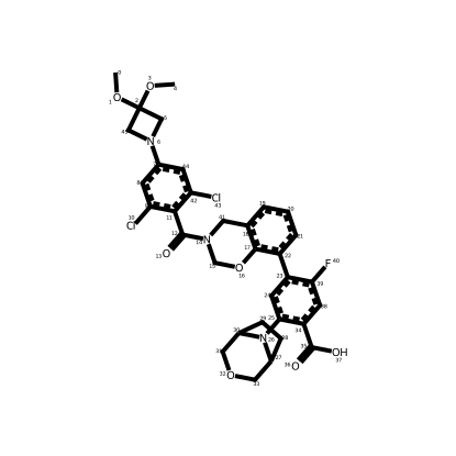 COC1(OC)CN(c2cc(Cl)c(C(=O)N3COc4c(cccc4-c4cc(N5C6CCC5COC6)c(C(=O)O)cc4F)C3)c(Cl)c2)C1